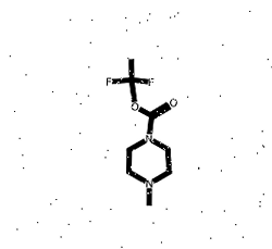 CN1CCN(C(=O)OC(C)(F)F)CC1